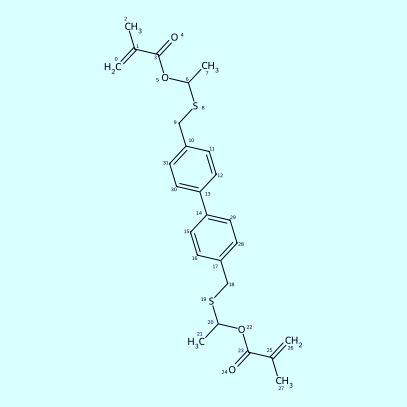 C=C(C)C(=O)OC(C)SCc1ccc(-c2ccc(CSC(C)OC(=O)C(=C)C)cc2)cc1